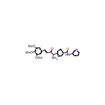 COc1cc(C=CC(=O)C(N)c2ccc(C(=O)Nc3cccnc3)cc2)cc(OC)c1OC